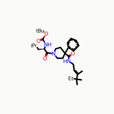 CCC(C)(C)/C(C)=C/CNC(=O)C1(c2ccccc2)CCN(C(=O)[C@@H](CC(C)C)NC(=O)OC(C)(C)C)CC1